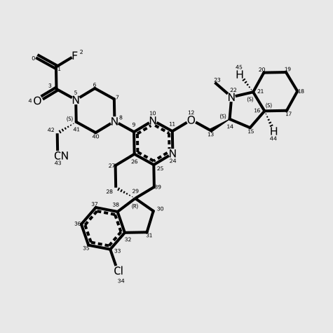 C=C(F)C(=O)N1CCN(c2nc(OC[C@@H]3C[C@@H]4CCCC[C@@H]4N3C)nc3c2CC[C@@]2(CCc4c(Cl)cccc42)C3)C[C@@H]1CC#N